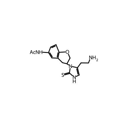 CC(=O)Nc1ccc2c(c1)CC(n1c(CCN)c[nH]c1=S)CO2